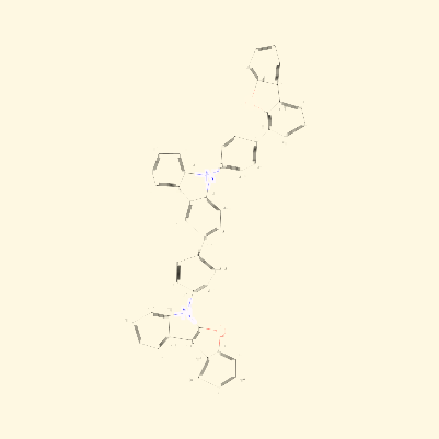 c1ccc2c(c1)oc1c(-c3ccc(-n4c5ccccc5c5cc(-c6ccc(-n7c8ccccc8c8c9ccccc9oc87)cc6)ccc54)cc3)cccc12